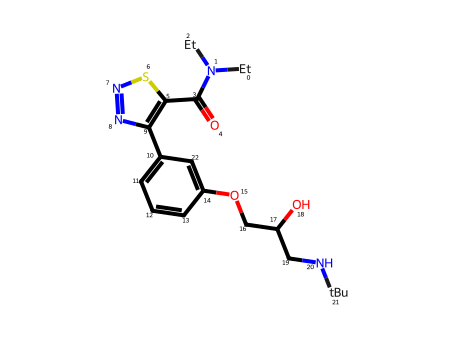 CCN(CC)C(=O)c1snnc1-c1cccc(OCC(O)CNC(C)(C)C)c1